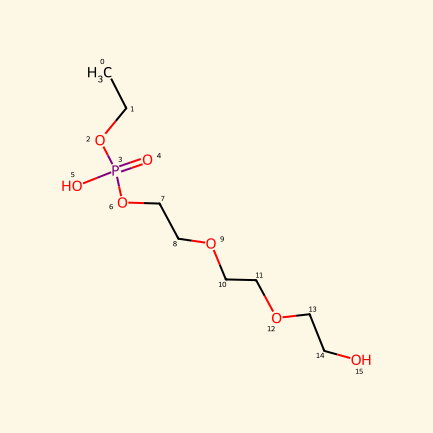 CCOP(=O)(O)OCCOCCOCCO